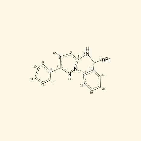 CCCC(Nc1cc(C)c(-c2ccccc2)nn1)c1ccccc1